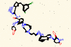 O=C1CCC(n2ccc3c(NCCCN4CCN(c5ccc(C(=O)Nc6n[nH]c7ccc(Cc8cc(F)cc(F)c8)cc67)c(NC6CCOCC6)c5)CC4)cccc32)C(=O)N1